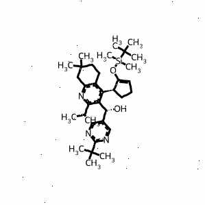 CC(C)c1nc2c(c([C@@H]3CCC=C3O[Si](C)(C)C(C)(C)C)c1[C@H](O)c1cnc(C(C)(C)C)nc1)CCC(C)(C)C2